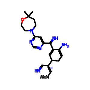 CN/C=C(\C=N)C1C=C(C(=N)c2cc(N3CCOC(C)(C)CC3)ncn2)C(N)=CC1